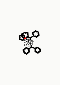 [Cl][W]([Cl])([Cl])([NH]c1ccccc1)([PH]C(c1ccccc1)c1ccccc1)[PH]C(c1ccccc1)c1ccccc1